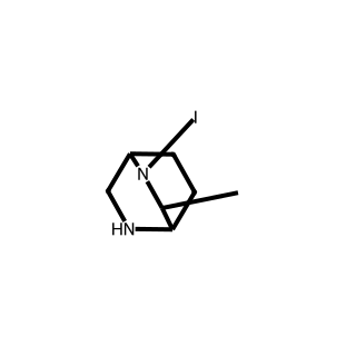 CC1C2CCC(CN2)N1I